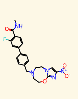 CNC(=O)c1ccc(-c2ccc(CN3CCOc4nc([N+](=O)[O-])cn4CC3)cc2)cc1F